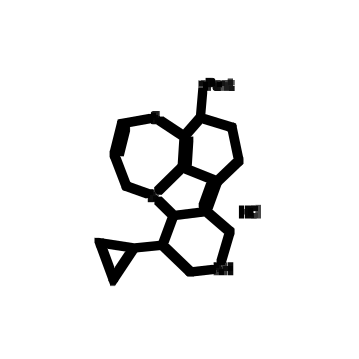 CCCCCC1CCC2=C3CNCC(C4CC4)C3N3CC=CSC1=C23.Cl